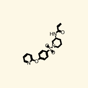 C=CC(=O)N[C@H]1CCCN(S(=O)(=O)c2ccc(Oc3ccccn3)cc2)C1